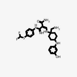 N=C(Nc1ccc(SC(F)F)cc1)/C(=C\NC1(CN)CCC(Nc2cccc(O)c2)CC1)C(N)=O